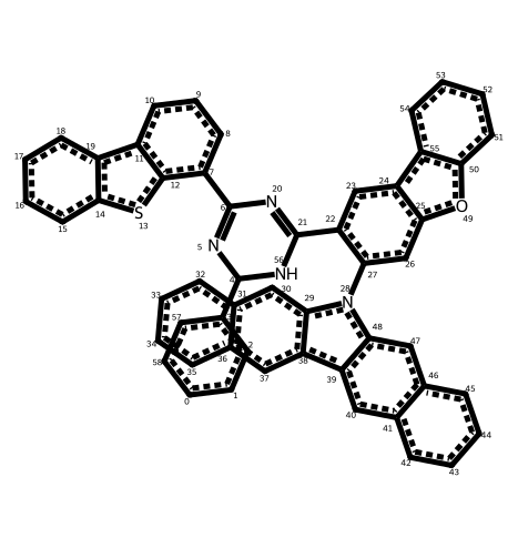 c1ccc(C2N=C(c3cccc4c3sc3ccccc34)N=C(c3cc4c(cc3-n3c5cc6ccccc6cc5c5cc6ccccc6cc53)oc3ccccc34)N2)cc1